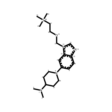 CN(C)C1CCN(c2ccc3ncn(COCCS(C)(C)C)c3c2)CC1